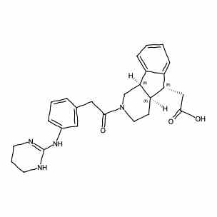 O=C(O)C[C@H]1c2ccccc2[C@@H]2CN(C(=O)Cc3cccc(NC4=NCCCN4)c3)CC[C@H]12